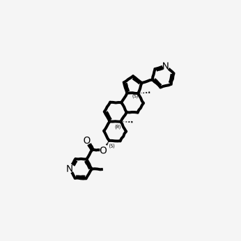 Cc1ccncc1C(=O)O[C@H]1CC[C@@]2(C)C(=CCC3C4=CC=C(c5cccnc5)[C@@]4(C)CCC32)C1